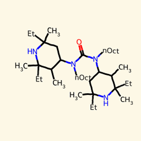 CCCCCCCCN(C(=O)N(CCCCCCCC)C1CC(C)(CC)NC(C)(CC)C1C)C1CC(C)(CC)NC(C)(CC)C1C